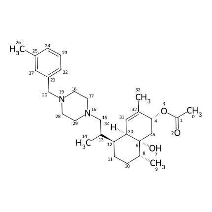 CC(=O)O[C@@H]1[CH][C@@]2(O)[C@H](C)CC[C@@H](C(C)CN3CCN(Cc4cccc(C)c4)CC3)[C@H]2C=C1C